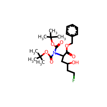 CC(C)(C)OC(=O)N(C(=O)OC(C)(C)C)C(CC(O)CCF)C(=O)OCc1ccccc1